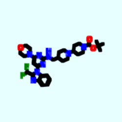 CC(C)(C)OC(=O)N1CCC(N2CCC(CNc3nc(N4CCOCC4)cc(-n4c(C(F)F)nc5ccccc54)n3)CC2)CC1